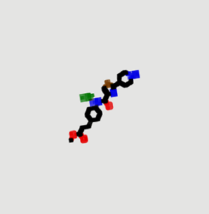 Br.COC(=O)CC[C@H]1CC[C@H](NC(=O)c2csc(C3CCNCC3)n2)CC1